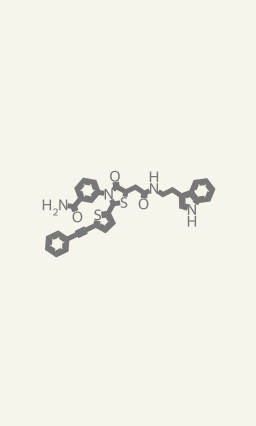 NC(=O)c1cccc(N2C(=O)C(CC(=O)NCCc3c[nH]c4ccccc34)SC2c2ccc(C#Cc3ccccc3)s2)c1